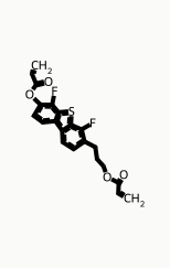 C=CC(=O)OCCCc1ccc2c(sc3c(F)c(OC(=O)C=C)ccc32)c1F